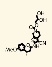 COc1cccc([C@@H](C)CC(=O)Nc2sc3c(c2C#N)CCN(C(=O)OCC(O)CO)C3)c1